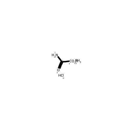 Cl.NC(=O)C(=O)O.P